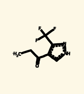 [CH2]CC(=O)c1c[nH]nc1C(F)(F)F